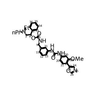 CCCN(CC)CC(OC(=O)NCc1cccc(NC(=O)Nc2ccc(-c3cnco3)c(OC)c2)c1)c1ccccc1